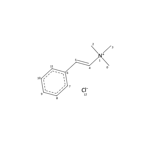 C[N+](C)(C)C=Cc1ccccc1.[Cl-]